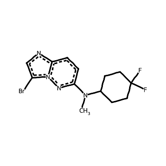 CN(c1ccc2ncc(Br)n2n1)C1CCC(F)(F)CC1